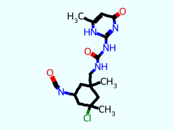 Cc1cc(=O)nc(NC(=O)NCC2(C)CC(N=C=O)CC(C)(Cl)C2)[nH]1